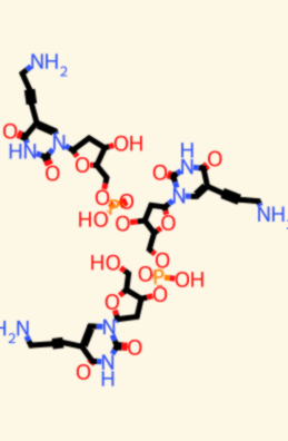 NCC#Cc1cn(C2CC(O)C(COP(=O)(O)OC3CC(n4cc(C#CCN)c(=O)[nH]c4=O)OC3COP(=O)(O)OC3CC(n4cc(C#CCN)c(=O)[nH]c4=O)OC3CO)O2)c(=O)[nH]c1=O